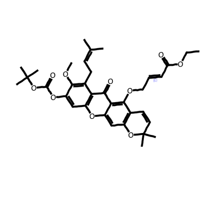 CCOC(=O)/C=C/COc1c2c(cc3oc4cc(OC(=O)OC(C)(C)C)c(OC)c(CC=C(C)C)c4c(=O)c13)OC(C)(C)C=C2